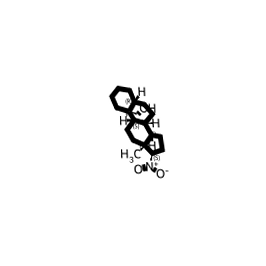 C[C@]12CC[C@H]3[C@@H](CC[C@H]4CCCC[C@@]43CO)[C@@H]1CC[C@@H]2[N+](=O)[O-]